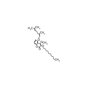 CCCCCCCCCCOc1c(OC)c2c(OCC=C(C)CCC=C(C)C)cccc2oc1=O